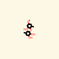 COc1cc(C)c(Oc2cc(C)cc(O)c2O)c(O)c1